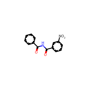 O=C(NC(=O)c1cccc([N+](=O)[O-])c1)c1ccccc1